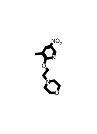 Cc1cc([N+](=O)[O-])cnc1OCCN1CCOCC1